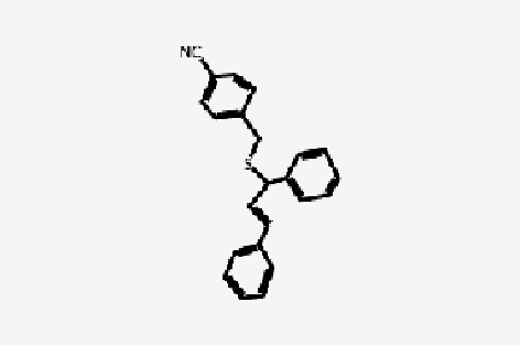 N#Cc1ccc(CSC(C=Cc2ccccc2)c2ccccc2)cc1